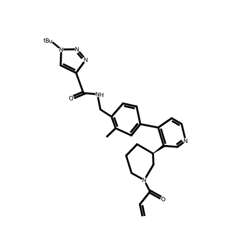 C=CC(=O)N1CCC[C@@H](c2cnccc2-c2ccc(CNC(=O)c3cn(C(C)(C)C)nn3)c(C)c2)C1